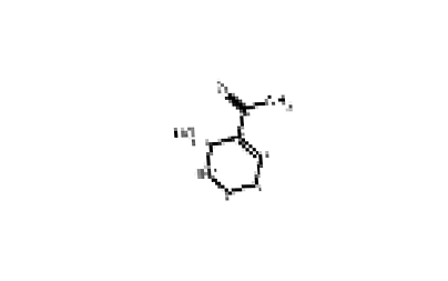 Cl.NC(=O)C1=CCCNC1